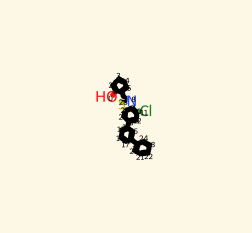 Oc1ccccc1-c1nc2c(Cl)cc(-c3cccc(-c4ccccc4)c3)cc2s1